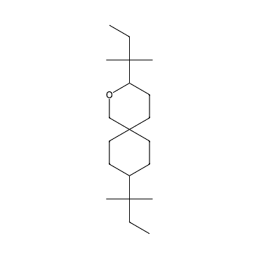 CCC(C)(C)C1CCC2(CC1)CCC(C(C)(C)CC)OC2